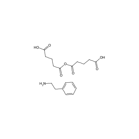 NCCc1ccccc1.O=C(O)CCCC(=O)OC(=O)CCCC(=O)O